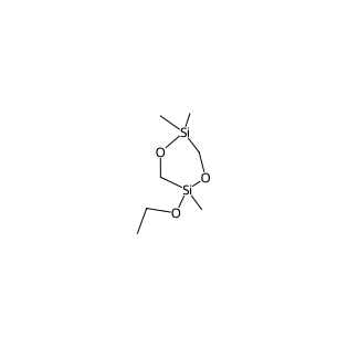 CCO[Si]1(C)CO[Si](C)(C)CO1